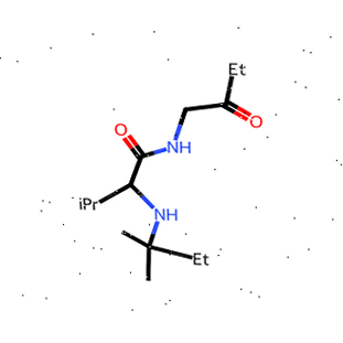 CCC(=O)CNC(=O)C(NC(C)(C)CC)C(C)C